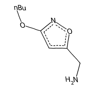 CCCCOc1cc(CN)on1